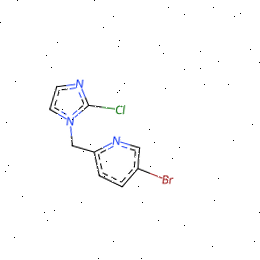 Clc1nccn1Cc1ccc(Br)cn1